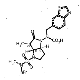 CCCN(C)S(=O)(=O)N1CC[C@H]2[C@H]1[C@H](C)C(=O)N2N(Cc1ccc2ncsc2c1)C(=O)O